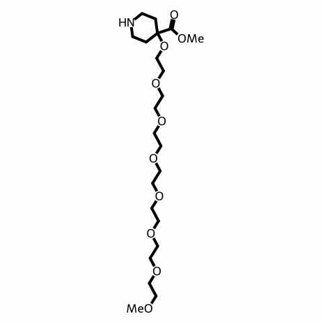 COCCOCCOCCOCCOCCOCCOCCOC1(C(=O)OC)CCNCC1